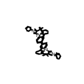 CC1(C)c2cn(-c3ccccc3)cc2-n2c3ccc(-c4ccc5c(c4)c4cccc6c4n5-c4cn(-c5ccccc5)cc4C6(C)C)cc3c3cccc1c32